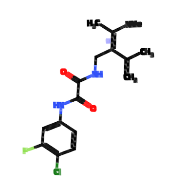 C=C(C)/C(CNC(=O)C(=O)Nc1ccc(Cl)c(F)c1)=C(/C)NC